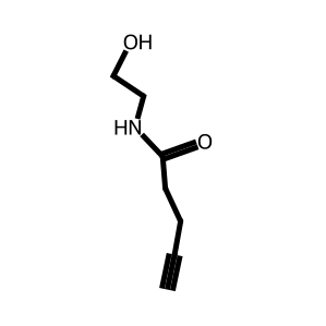 C#CCCC(=O)NCCO